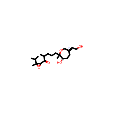 CC(CCCC1(C)OC/C(=C/CO)CC[C@H]1O)C(=O)C1OC1(C)C(C)C